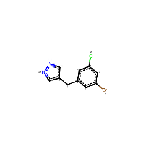 Clc1cc(Br)cc(Cc2cn[nH]c2)c1